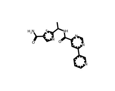 CC(NC(=O)c1cc(-c2cccnc2)ncn1)c1ncc(C(N)=O)s1